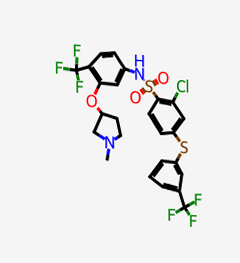 CN1CCC(Oc2cc(NS(=O)(=O)c3ccc(Sc4cccc(C(F)(F)F)c4)cc3Cl)ccc2C(F)(F)F)C1